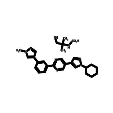 CC(C)(CO)NC(=O)O.Cn1cc(-c2cccc(-c3ncc(-c4cnn(C5CCCCC5)c4)cn3)c2)cn1